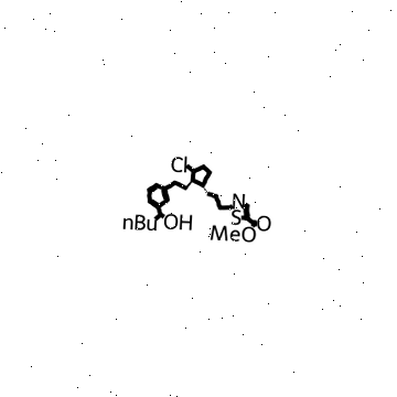 CCCCC(O)c1cccc(CC[C@H]2C(Cl)CC[C@@H]2CCCc2ncc(C(=O)OC)s2)c1